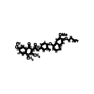 COc1cc2c(Oc3ccc(NC(=O)c4c(C)n(C)c5ccc(OC(F)(F)F)cc5c4=O)cc3F)ncnc2cc1OCCC(C)C